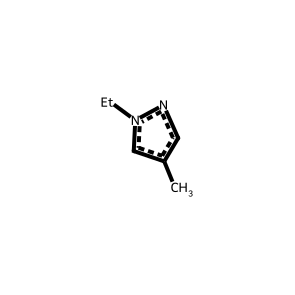 [CH2]Cn1cc(C)cn1